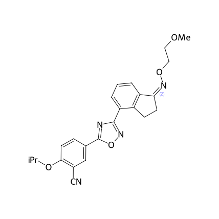 COCCO/N=C1/CCc2c1cccc2-c1noc(-c2ccc(OC(C)C)c(C#N)c2)n1